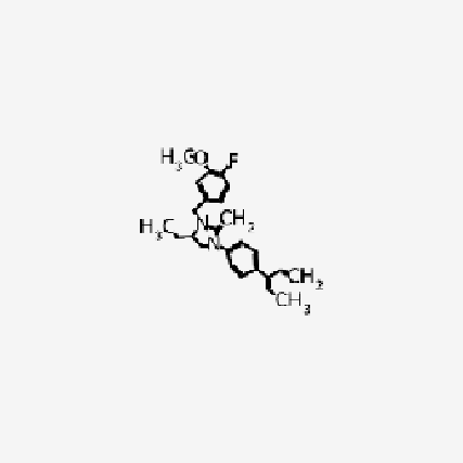 C=C/C(=C\C)c1ccc(N2C[C@@H](CC)N(Cc3ccc(F)c(OC)c3)C2=C)cc1